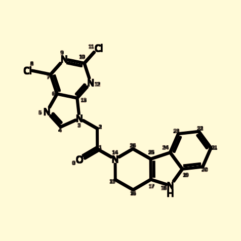 O=C(Cn1cnc2c(Cl)nc(Cl)nc21)N1CCc2[nH]c3ccccc3c2C1